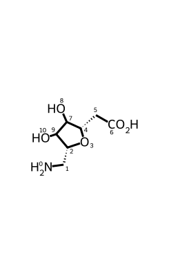 NC[C@H]1O[C@@H](CC(=O)O)C(O)C1O